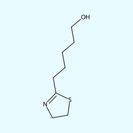 OCCCCCC1=N[CH]CS1